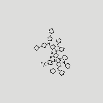 Fc1c2c(cc3c1N(c1ccc(C(F)(F)F)cc1)c1cc(N(c4ccccc4)c4ccccc4)cc4c1B3c1ccccc1N4c1ccccc1)B1c3ccccc3N(c3ccccc3)c3cc(N(c4ccc(-c5ccccc5)cc4)c4ccc(-c5ccccc5)cc4)cc(c31)S2